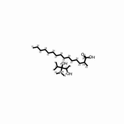 CC(C)C(O)(C(C)O)N(C)C.CCCCCCCCCCCCCC(C)C(=O)O